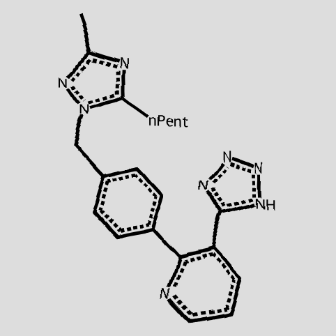 CCCCCc1nc(C)nn1Cc1ccc(-c2ncccc2-c2nnn[nH]2)cc1